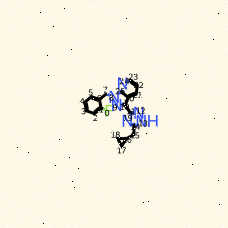 Fc1ccccc1Cn1nc(-c2n[nH]c(CC3CC3)n2)c2cccnc21